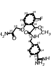 COC(C(=O)NCc1ccc(C(=N)N)cc1)c1c(F)cccc1OCC(N)=O